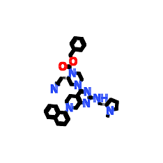 CN1CCC[C@H]1CNc1nc2c(c(N3CCN(C(=O)OCc4ccccc4)[C@@H](CC#N)C3)n1)CCN(c1cccc3ccccc13)C2